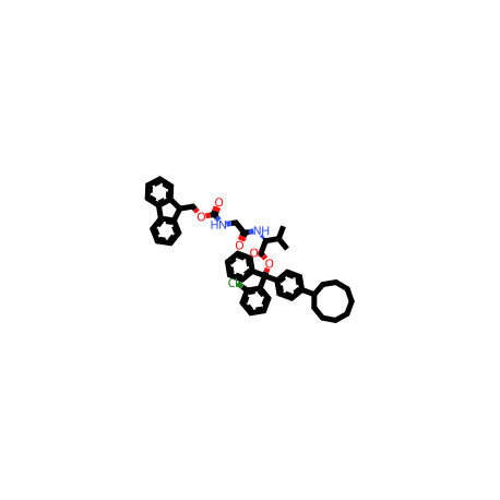 CC(C)[C@H](NC(=O)CNC(=O)OCC1c2ccccc2-c2ccccc21)C(=O)OC(c1ccccc1)(c1ccc(C2CCCCCCCC2)cc1)c1ccccc1Cl